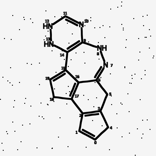 C1=CC2=C(C1)Cc1n[nH]c3nc[nH][nH]c=3c3c1=C2CC=3